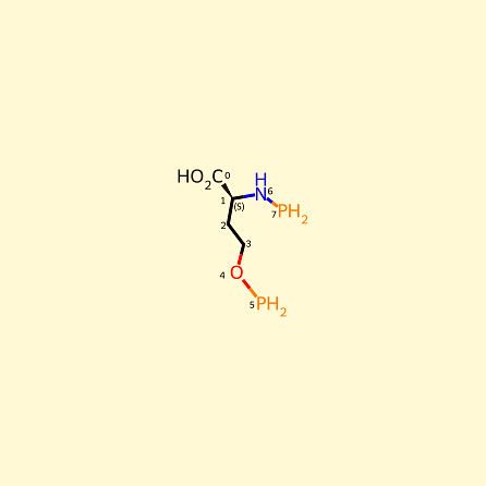 O=C(O)[C@H](CCOP)NP